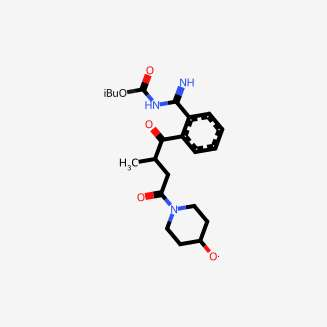 CC(C)COC(=O)NC(=N)c1ccccc1C(=O)C(C)CC(=O)N1CCC([O])CC1